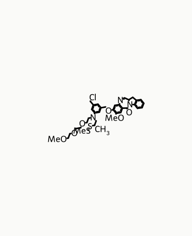 COCCOCCOCCN(CC(C)SSC)c1cc(CCl)cc(COc2cc3c(cc2OC)C(=O)N2c4ccccc4CC2C=N3)c1